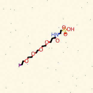 O=C(CCOCCOCCOCCOCCI)NCCS(=O)(=O)O